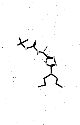 CCCC(CCC)c1nnc([C@H](C)NC(=O)OC(C)(C)C)o1